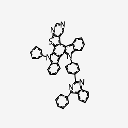 c1ccc(-c2nc(-c3ccc(-n4c5ccccc5c5c6c7cncnc7sc6c6c(c7ccccc7n6-c6ccccc6)c54)cc3)nc3ccccc23)cc1